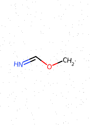 [CH2]OC=N